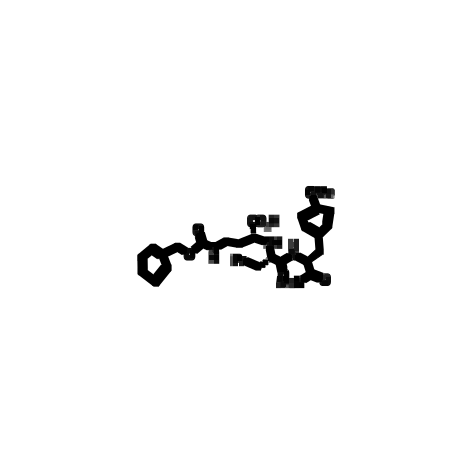 CNC(=O)[C@H](Cc1ccc(OC)cc1)NC(=O)[C@H](CC(C)C)N[C@H](CCNC(=O)OCc1ccccc1)C(=O)O